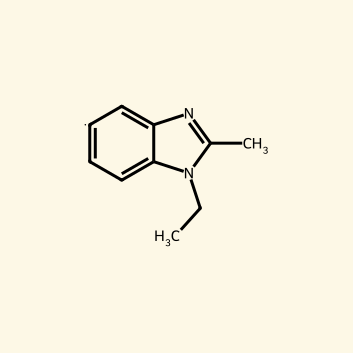 CCn1c(C)nc2c[c]ccc21